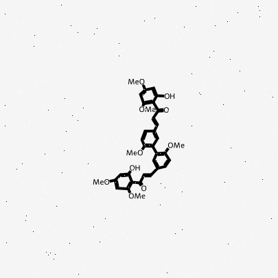 COc1cc(O)c(C(=O)/C=C/c2ccc(OC)c(-c3cc(/C=C/C(=O)c4c(O)cc(OC)cc4OC)ccc3OC)c2)c(OC)c1